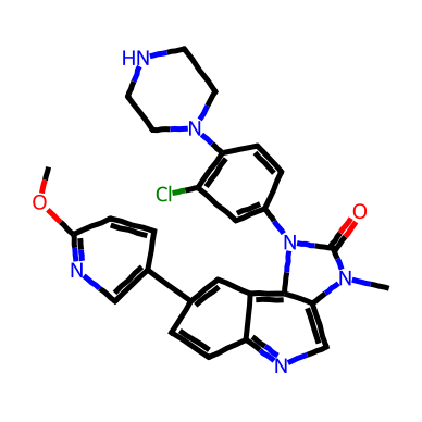 COc1ccc(-c2ccc3ncc4c(c3c2)n(-c2ccc(N3CCNCC3)c(Cl)c2)c(=O)n4C)cn1